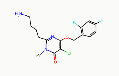 CC(C)n1c(CCCCN)nc(OCc2ccc(F)cc2F)c(Cl)c1=O